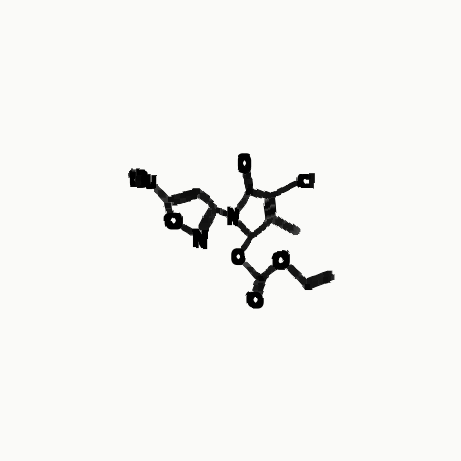 C=COC(=O)OC1C(C)=C(Cl)C(=O)N1c1cc(C(C)(C)C)on1